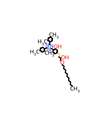 CCCCCCCCCCCCCOCC(O)CSc1ccc(-c2nc(-c3ccc(C)cc3C)nc(-c3ccc(C)cc3C)n2)c(O)c1